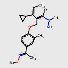 C/C=C(\C(COc1ccc(/C(C)=N/OC(C)(C)C)cc1C)=C(/CC)N(C)N)C1CC1